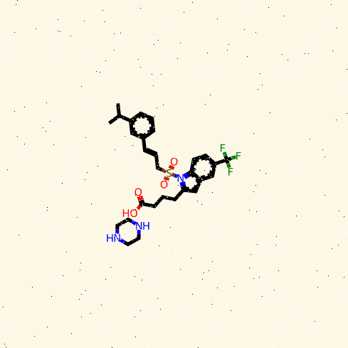 C1CNCCN1.CC(C)c1cccc(C=CCS(=O)(=O)n2c(CCCC(=O)O)cc3cc(C(F)(F)F)ccc32)c1